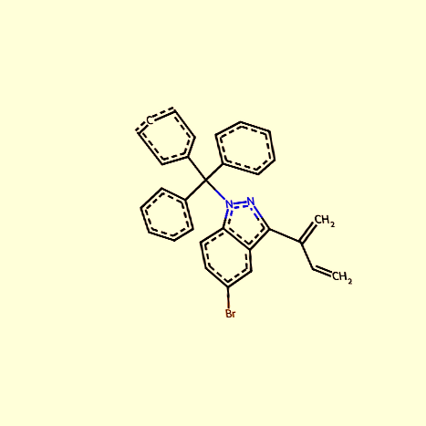 C=CC(=C)c1nn(C(c2ccccc2)(c2ccccc2)c2ccccc2)c2ccc(Br)cc12